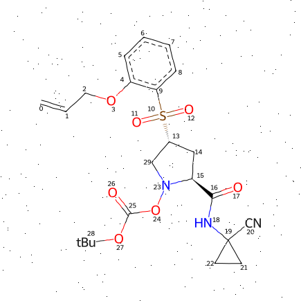 C=CCOc1ccccc1S(=O)(=O)[C@@H]1C[C@@H](C(=O)NC2(C#N)CC2)N(OC(=O)OC(C)(C)C)C1